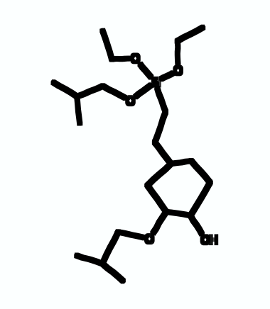 CCO[Si](CCC1CCC(O)C(OCC(C)C)C1)(OCC)OCC(C)C